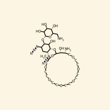 C[C@H]1COCCOCCOCCOCCOCCOC[C@@H](N)[C@@H](O)C(O[C@H]2C(O)[C@H](O[C@H]3OC(CN)[C@@H](O)[C@H](O)C3O)C(N=[N+]=[N-])C[C@H]2N=[N+]=[N-])O1